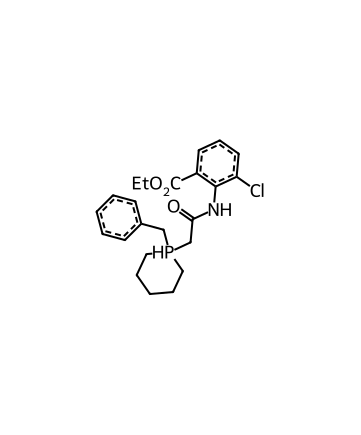 CCOC(=O)c1cccc(Cl)c1NC(=O)C[PH]1(Cc2ccccc2)CCCCC1